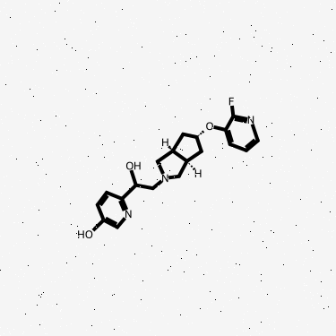 Oc1ccc(C(O)CN2C[C@H]3C[C@H](Oc4cccnc4F)C[C@H]3C2)nc1